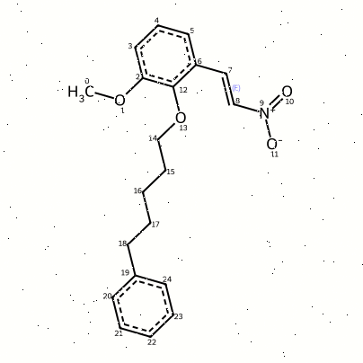 COc1cccc(/C=C/[N+](=O)[O-])c1OCCCCCc1ccccc1